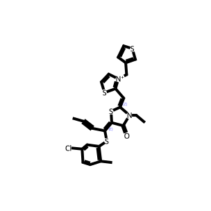 CC#C/C(Sc1cc(Cl)ccc1C)=c1\s/c(=C\c2scc[n+]2Cc2ccsc2)n(CC)c1=O